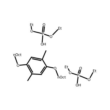 CCCCCCCCOc1cc(C)c(OCCCCCCCC)cc1C.CCOP(=O)(O)OCC.CCOP(=O)(O)OCC